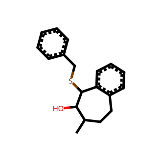 CC1CCc2ccccc2C(SCc2ccccc2)C1O